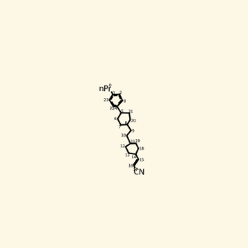 CCCc1ccc(C2CCC(CCC3CCC(C=CC#N)CC3)CC2)cc1